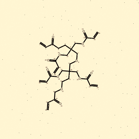 C=CC(=O)CCC(COCC(CCOCC(=O)C=C)(COC(=O)C=C)COC(=O)C=C)(COC(=O)C=C)COC(=O)C=C